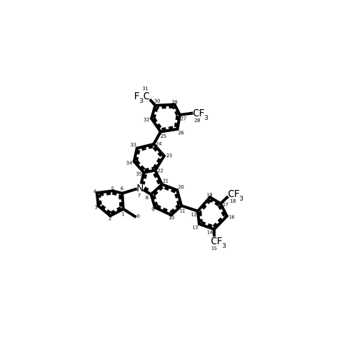 Cc1ccccc1-n1c2ccc(-c3cc(C(F)(F)F)cc(C(F)(F)F)c3)cc2c2cc(-c3cc(C(F)(F)F)cc(C(F)(F)F)c3)ccc21